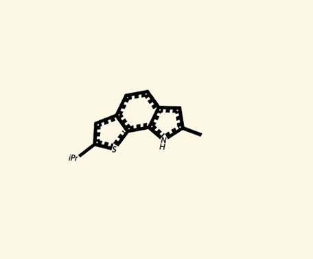 Cc1cc2ccc3cc(C(C)C)sc3c2[nH]1